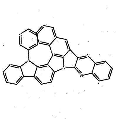 c1ccc(-n2c3ccccc3c3ccc4c(c5c6ccccc6cc6c7nc8ccccc8nc7n4c65)c32)cc1